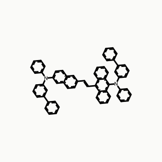 C(=C\c1c2ccccc2c(N(c2ccccc2)c2cccc(-c3ccccc3)c2)c2ccccc12)/c1ccc2cc(N(c3ccccc3)c3cccc(-c4ccccc4)c3)ccc2c1